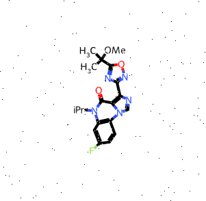 COC(C)(C)c1nc(-c2ncn3c2c(=O)n(C(C)C)c2cc(F)ccc23)no1